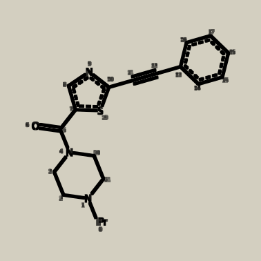 CC(C)N1CCN(C(=O)c2cnc(C#Cc3ccccc3)s2)CC1